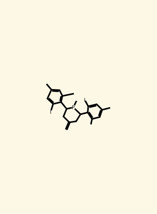 C=C1CC(c2c(C)cc(C)cc2I)P(C)C(c2c(C)cc(C)cc2I)C1